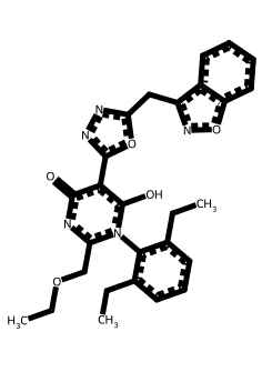 CCOCc1nc(=O)c(-c2nnc(Cc3noc4ccccc34)o2)c(O)n1-c1c(CC)cccc1CC